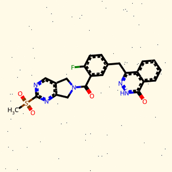 CS(=O)(=O)c1ncc2c(n1)CN(C(=O)c1cc(Cc3n[nH]c(=O)c4ccccc34)ccc1F)C2